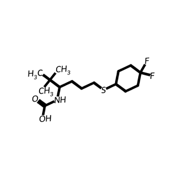 CC(C)(C)C(CCCSC1CCC(F)(F)CC1)NC(=O)O